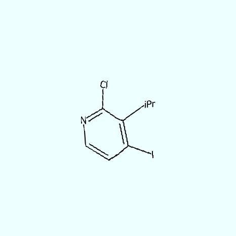 CC(C)c1c(I)ccnc1Cl